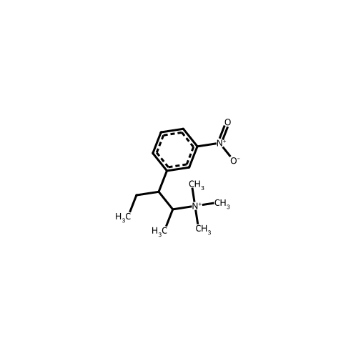 CCC(c1cccc([N+](=O)[O-])c1)C(C)[N+](C)(C)C